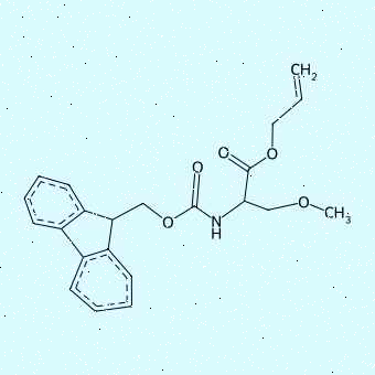 C=CCOC(=O)C(COC)NC(=O)OCC1c2ccccc2-c2ccccc21